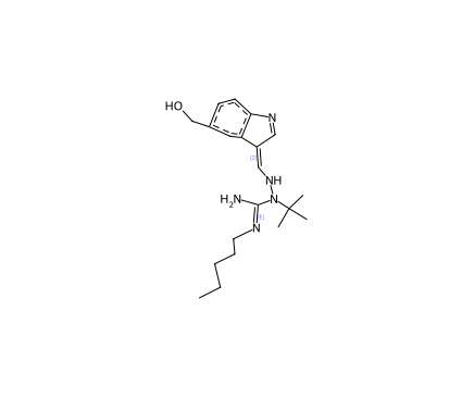 CCCCC/N=C(\N)N(N/C=C1\C=Nc2ccc(CO)cc21)C(C)(C)C